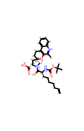 C=CCCCCC[C@H](NC(=O)OC(C)(C)C)C(=O)N1C[C@@]2(CCc3c(c(C)nc4ccccc34)O2)C[C@H]1C(=O)O